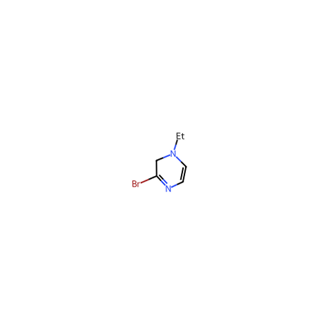 CCN1C=CN=C(Br)C1